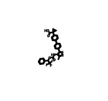 Cc1nsc(-c2ccc(-c3ccc(C4(C(=O)O)CC4)cc3)cc2)c1NC(=O)OC(c1ccccc1)C(F)(F)F